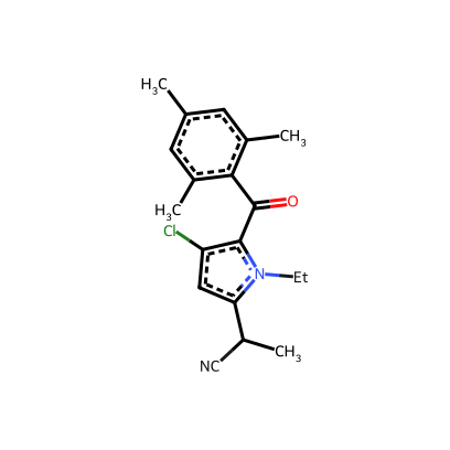 CCn1c(C(C)C#N)cc(Cl)c1C(=O)c1c(C)cc(C)cc1C